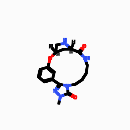 Cn1nc2n(c1=O)CCCCNC(=O)[C@@H]1C[C@@H](CN1)Oc1cccc-2c1